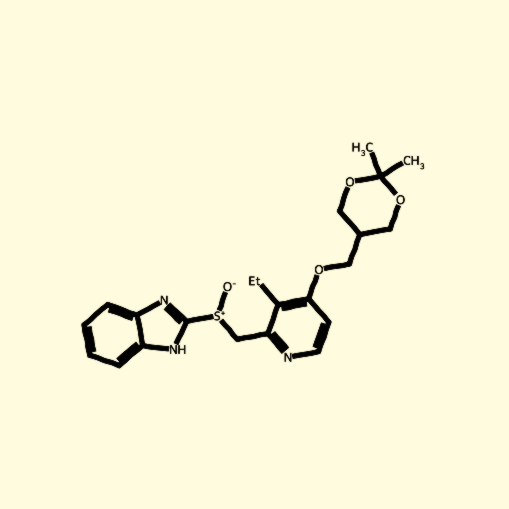 CCc1c(OCC2COC(C)(C)OC2)ccnc1C[S+]([O-])c1nc2ccccc2[nH]1